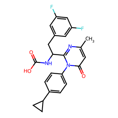 Cc1cc(=O)n(-c2ccc(C3CC3)cc2)c(C(Cc2cc(F)cc(F)c2)NC(=O)O)n1